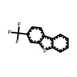 FC(F)(F)c1ccc2c(c1)sc1ccccc12